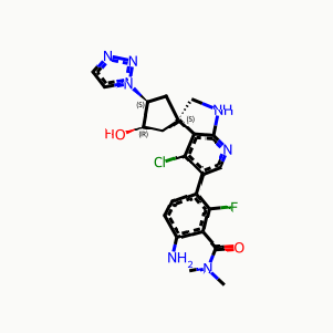 CN(C)C(=O)c1c(N)ccc(-c2cnc3c(c2Cl)[C@@]2(CN3)C[C@@H](O)[C@@H](n3ccnn3)C2)c1F